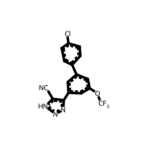 N#Cc1[nH]nnc1-c1cc(OC(F)(F)F)cc(-c2ccc(Cl)cc2)c1